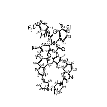 O=C(Nc1cc(F)c(F)c(Oc2ccc3ncc(N4CCNCC4)nc3c2)c1)N(c1ccc(Cl)c(F)c1)N(C(=O)Nc1cccc(C(F)(F)F)c1)c1cc(F)c(F)c(Oc2ccc3ncc(N4CCNCC4)nc3c2)c1